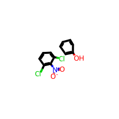 O=[N+]([O-])c1c(Cl)cccc1Cl.Oc1ccccc1